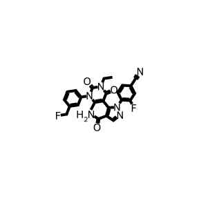 CCn1c(=O)c(-c2c(C(N)=O)cnn2-c2ccc(C#N)cc2F)c(C)n(-c2cccc(CF)c2)c1=O